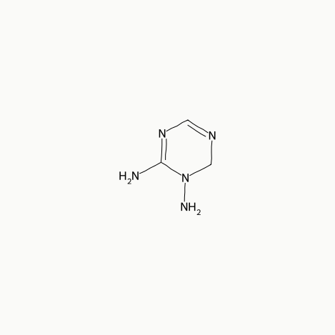 NC1=NC=NCN1N